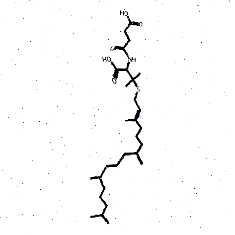 C/C(=C\CSC(C)(C)C(NC(=O)CCC(=O)O)C(=O)O)CCCC(C)CCCC(C)CCCC(C)C